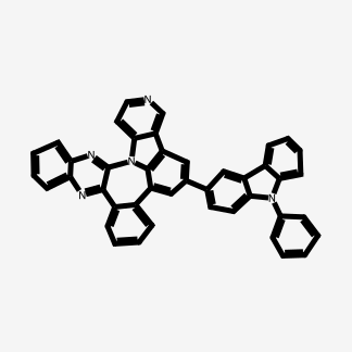 c1ccc(-n2c3ccccc3c3cc(-c4cc5c6c(c4)c4cnccc4n6-c4nc6ccccc6nc4-c4ccccc4-5)ccc32)cc1